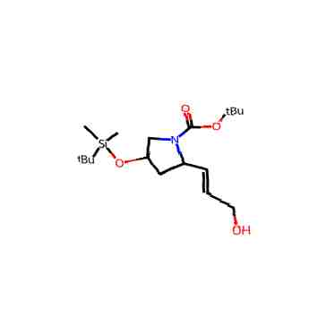 CC(C)(C)OC(=O)N1CC(O[Si](C)(C)C(C)(C)C)CC1C=CCO